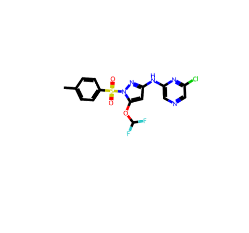 Cc1ccc(S(=O)(=O)n2nc(Nc3cncc(Cl)n3)cc2OC(F)F)cc1